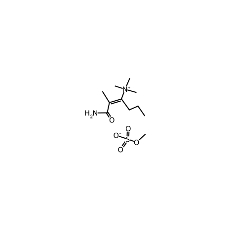 CCC/C(=C(/C)C(N)=O)[N+](C)(C)C.COS(=O)(=O)[O-]